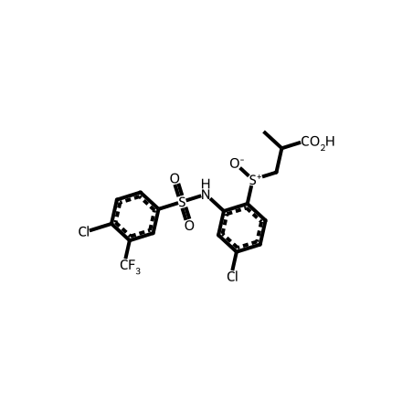 CC(C[S+]([O-])c1ccc(Cl)cc1NS(=O)(=O)c1ccc(Cl)c(C(F)(F)F)c1)C(=O)O